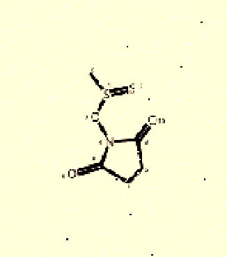 CS(=S)ON1C(=O)CCC1=O